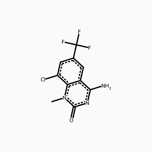 Cn1c(=O)nc(N)c2cc(C(F)(F)F)cc(Cl)c21